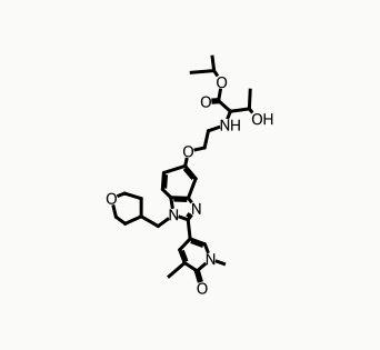 Cc1cc(-c2nc3cc(OCCNC(C(=O)OC(C)C)C(C)O)ccc3n2CC2CCOCC2)cn(C)c1=O